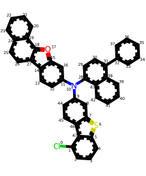 Clc1cccc2sc3cc(N(c4ccc5c(c4)oc4c6ccccc6ccc54)c4ccc(-c5ccccc5)c5ccccc45)ccc3c12